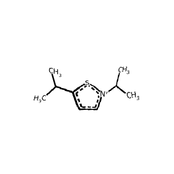 CC(C)c1cc[n+](C(C)C)s1